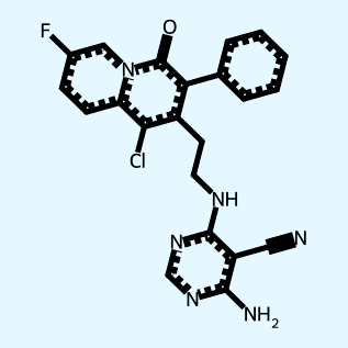 N#Cc1c(N)ncnc1NCCc1c(-c2ccccc2)c(=O)n2cc(F)ccc2c1Cl